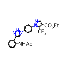 CCOC(=O)c1cnn(-c2ccc(-n3cc(-c4ccccc4NC(C)=O)nn3)cc2)c1C(F)(F)F